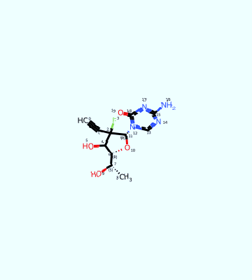 C#CC1(F)C(O)[C@@H]([C@H](C)O)O[C@H]1n1cnc(N)nc1=O